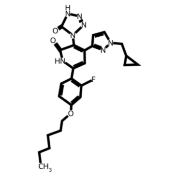 CCCCCCOc1ccc(-c2cc(-c3ccn(CC4CC4)n3)c(-n3nn[nH]c3=O)c(=O)[nH]2)c(F)c1